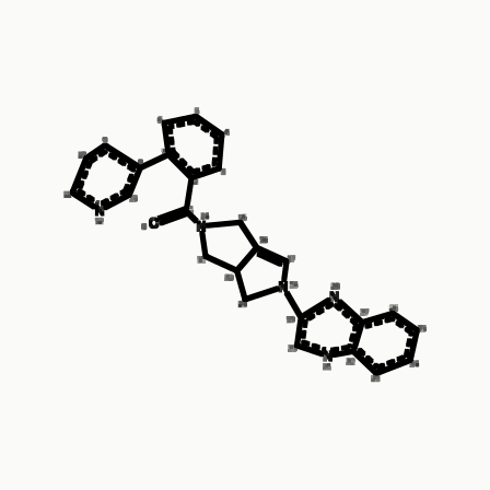 O=C(c1ccccc1-c1cccnc1)N1CC2=CN(c3cnc4ccccc4n3)CC2C1